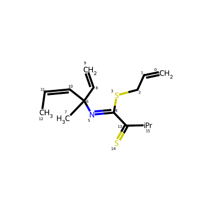 C=CCS/C(=N\C(C)(C=C)/C=C\C)C(=S)C(C)C